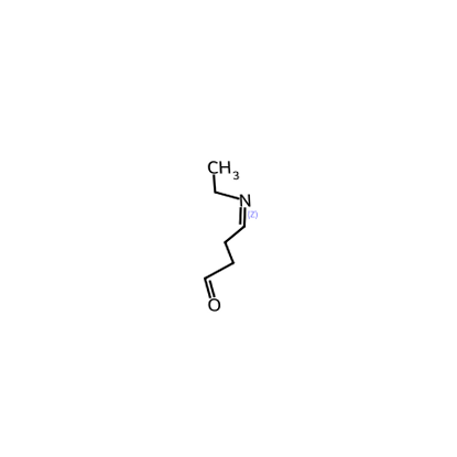 CC/N=C\CCC=O